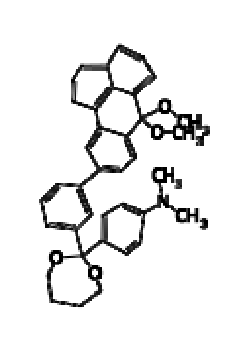 COC1(OC)c2ccc(-c3cccc(C4(c5ccc(N(C)C)cc5)OCCCCO4)c3)cc2-c2cccc3cccc1c23